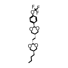 CCCC[C@H]1CO[C@H](CC[C@H]2CO[C@H](c3ccc(OC(F)(F)F)cc3)OC2)OC1